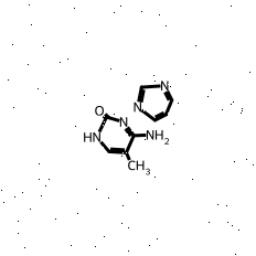 Cc1c[nH]c(=O)nc1N.c1cncnc1